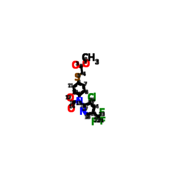 COC(=O)CSc1ccc2c(c1)oc(=O)n2-c1ncc(C(F)(F)F)cc1Cl